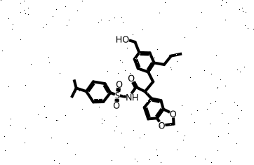 CCCc1cc(CO)ccc1CC(C(=O)NS(=O)(=O)c1ccc(C(C)C)cc1)c1ccc2c(c1)OCO2